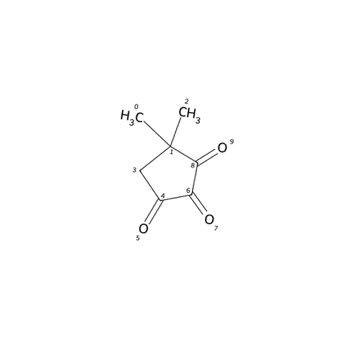 CC1(C)CC(=O)C(=O)C1=O